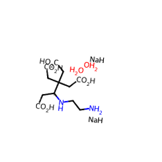 NCCN[C](CC(=O)O)C(CC(=O)O)(CC(=O)O)CC(=O)O.O.O.[NaH].[NaH]